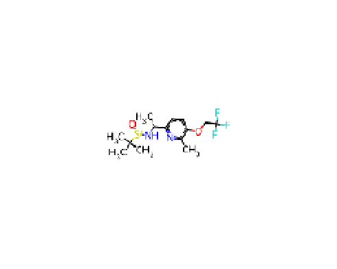 Cc1nc([C@@H](C)N[S@+]([O-])C(C)(C)C)ccc1OCC(F)(F)F